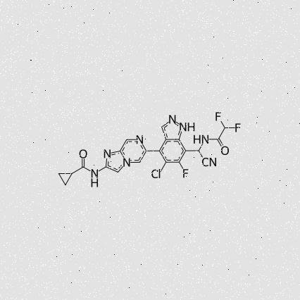 N#CC(NC(=O)C(F)F)c1c(F)c(Cl)c(-c2cn3cc(NC(=O)C4CC4)nc3cn2)c2cn[nH]c12